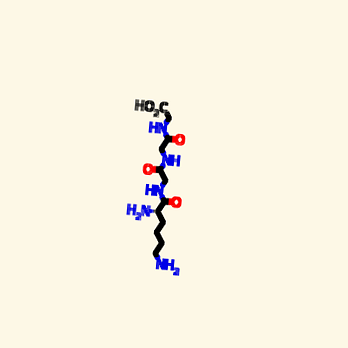 NCCCC[C@H](N)C(=O)NCC(=O)NCC(=O)NCC(=O)O